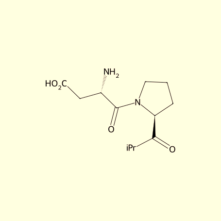 CC(C)C(=O)[C@@H]1CCCN1C(=O)[C@@H](N)CC(=O)O